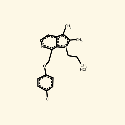 CCCn1c(C)c(C)c2ccnc(COc3ccc(Cl)cc3)c21.Cl